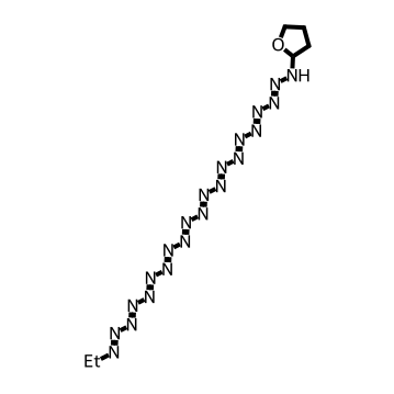 CCN=NN=NN=NN=NN=NN=NN=NN=NN=NN=NNC1CCCO1